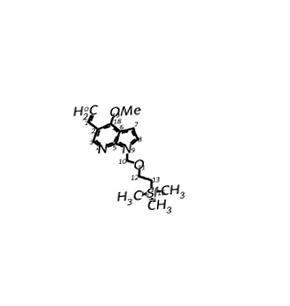 C=Cc1cnc2c(ccn2COCC[Si](C)(C)C)c1OC